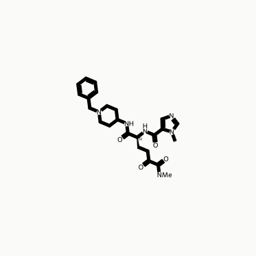 CNC(=O)C(=O)CC[C@H](NC(=O)c1cncn1C)C(=O)NC1CCN(Cc2ccccc2)CC1